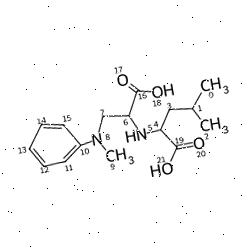 CC(C)CC(NC(CN(C)c1ccccc1)C(=O)O)C(=O)O